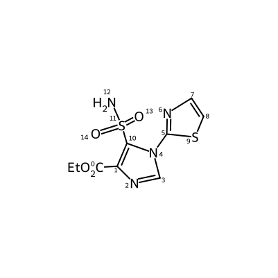 CCOC(=O)c1ncn(-c2nccs2)c1S(N)(=O)=O